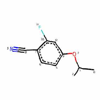 CC(C)Oc1ccc(C#N)c(F)c1